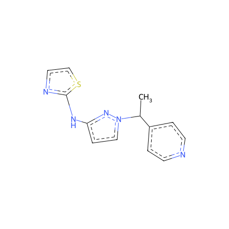 CC(c1ccncc1)n1ccc(Nc2nccs2)n1